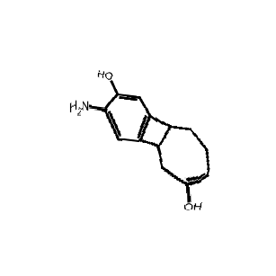 Nc1cc2c(cc1O)C1CCC=C(O)CC21